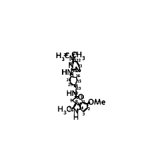 COc1ccc2[nH]c(C)c(CC(=O)NCC3CCC(Nc4nccc(N(C)C)n4)CC3)c2c1